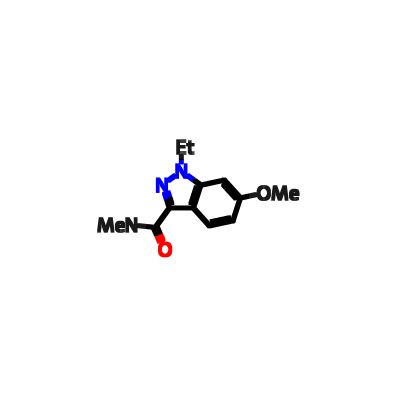 CCn1nc(C(=O)NC)c2ccc(OC)cc21